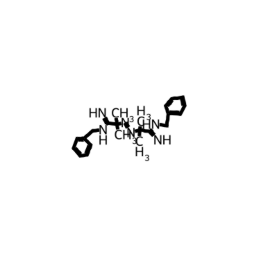 CC(C)(N=NC(C)(C)C(=N)NCc1ccccc1)C(=N)NCc1ccccc1